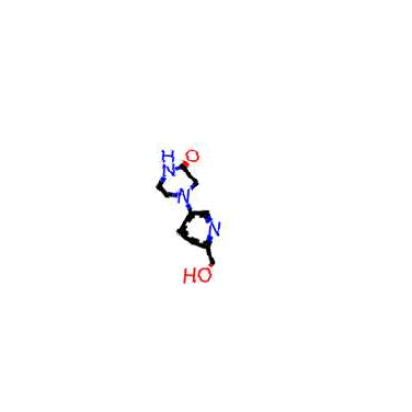 O=C1CN(c2ccc(CO)nc2)CCN1